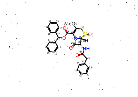 COC1=C(C(=O)OC(c2ccccc2)c2ccccc2)N2C(=O)[C@@H](NC(=O)Cc3ccccc3)[C@H]2[S+]([O-])C1